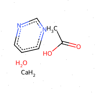 CC(=O)O.O.[CaH2].c1cncnc1